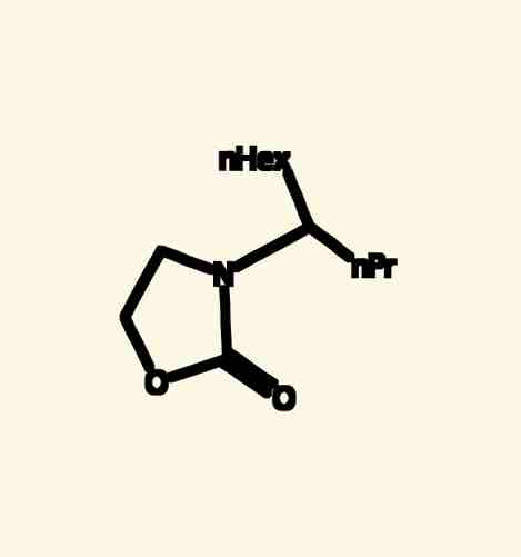 CCCCCCC(CCC)N1CCOC1=O